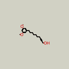 COc1cc(CCCCCCCC#CCO)cc(OC)c1